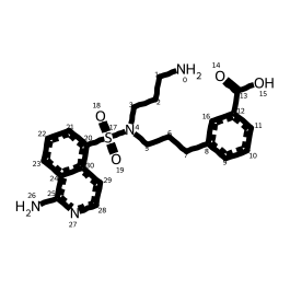 NCCCN(CCCc1cccc(C(=O)O)c1)S(=O)(=O)c1cccc2c(N)nccc12